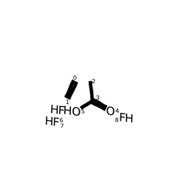 C=C.CC(=O)O.F.F.F